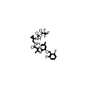 Cc1cc(OCc2c(F)cccc2F)c2nc(C)c(C(=O)NCC3(NC(=O)OC(=O)C(F)(F)F)CC3)n2c1